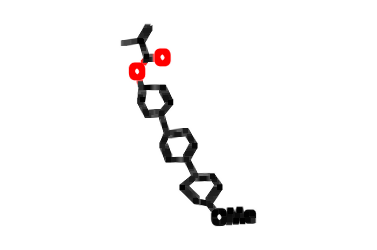 C=C(C)C(=O)Oc1ccc(-c2ccc(-c3ccc(OC)cc3)cc2)cc1